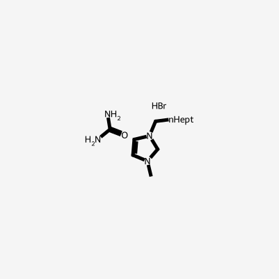 Br.CCCCCCCCN1C=CN(C)C1.NC(N)=O